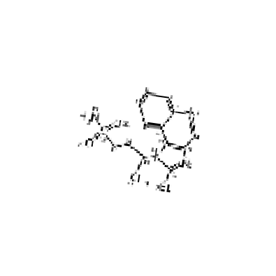 CCc1nc2cnc3ccccc3c2n1C(C)CCS(N)(=O)=O